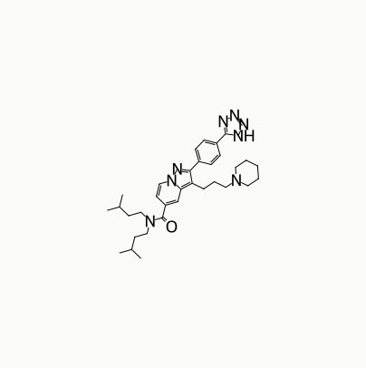 CC(C)CCN(CCC(C)C)C(=O)c1ccn2nc(-c3ccc(-c4nnn[nH]4)cc3)c(CCCN3CCCCC3)c2c1